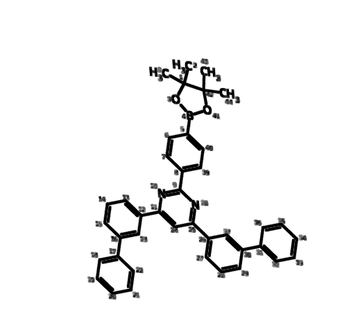 CC1(C)OB(c2ccc(-c3nc(-c4cccc(-c5ccccc5)c4)cc(-c4cccc(-c5ccccc5)c4)n3)cc2)OC1(C)C